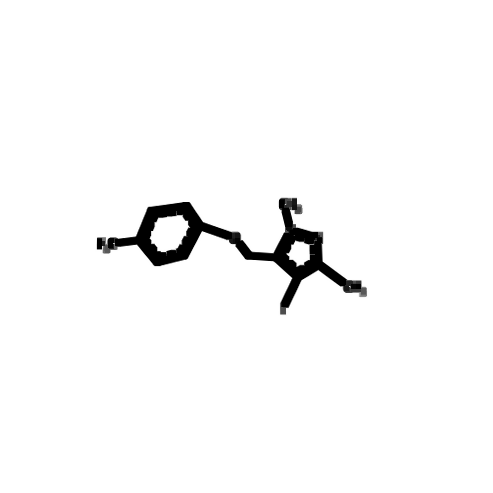 Cc1nn(C)c(COc2ccc(C(F)(F)F)cc2)c1I